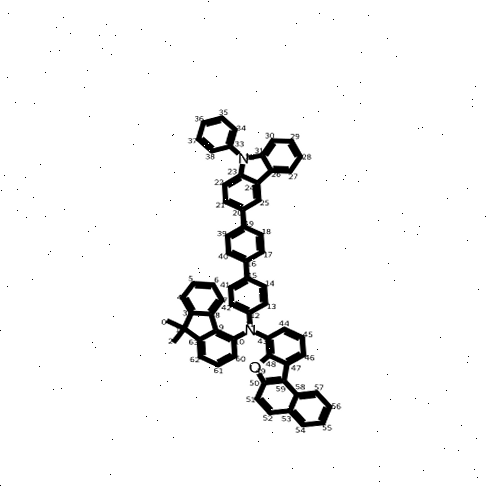 CC1(C)c2ccccc2-c2c(N(c3ccc(-c4ccc(-c5ccc6c(c5)c5ccccc5n6-c5ccccc5)cc4)cc3)c3cccc4c3oc3ccc5ccccc5c34)cccc21